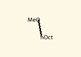 [CH2]CCCCCCCCCCCCCCCCCCCOC